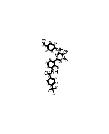 Cc1c(NC(=O)c2ccc(C(C)(C)C)cc2)cccc1-c1cn(C)c(=O)c(Nc2ccc(C=O)cc2)n1